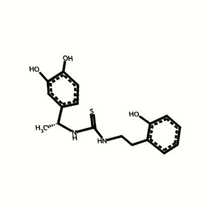 C[C@@H](NC(=S)NCCc1ccccc1O)c1ccc(O)c(O)c1